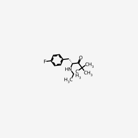 CCN[C@H](Cc1ccc(F)cc1)C(=O)C(C)(C)C